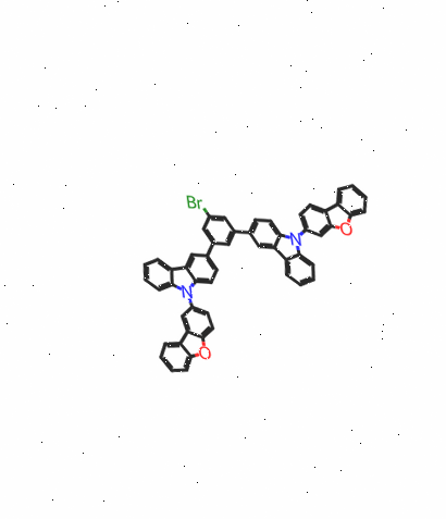 Brc1cc(-c2ccc3c(c2)c2ccccc2n3-c2ccc3c(c2)oc2ccccc23)cc(-c2ccc3c(c2)c2ccccc2n3-c2ccc3oc4ccccc4c3c2)c1